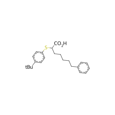 CC(C)(C)c1ccc(SC(CCCCCc2ccccc2)C(=O)O)cc1